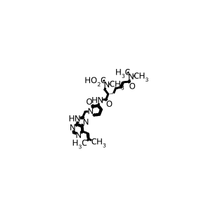 CC(C)=Cc1ncnc2[nH]c(Cn3cccc(NC(=O)[C@@H](CC/C=C/C(=O)N(C)C)CN(C)C(=O)O)c3=O)nc12